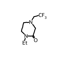 CCN1CCN(CC(F)(F)F)CC1=O